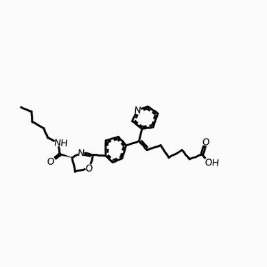 CCCCCNC(=O)[C@@H]1COC(c2ccc(C(=CCCCCC(=O)O)c3cccnc3)cc2)=N1